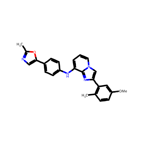 COc1ccc(C)c(-c2cn3cccc(Nc4ccc(-c5cnc(C)o5)cc4)c3n2)c1